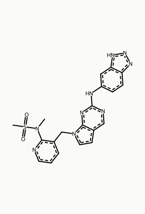 CN(c1ncccc1Cn1ccc2cnc(Nc3ccc4nn[nH]c4c3)nc21)S(C)(=O)=O